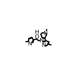 Cc1cnc2c(c1)c1c(n2CC(O)c2ccc(C)nc2)CCN(C)C1